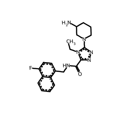 CCn1c(C(=O)NCc2ccc(F)c3ccccc23)nnc1N1CCCC(N)C1